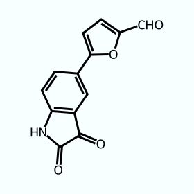 O=Cc1ccc(-c2ccc3c(c2)C(=O)C(=O)N3)o1